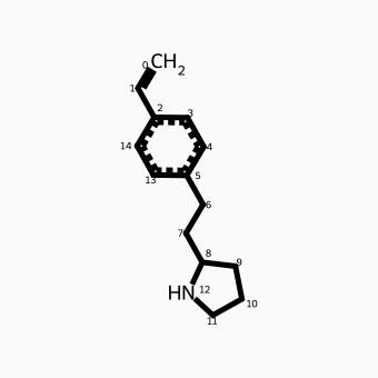 C=Cc1ccc(CCC2CCCN2)cc1